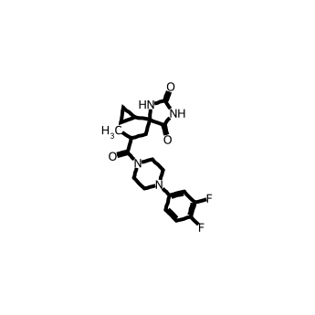 CC(CC1(C2CC2)NC(=O)NC1=O)C(=O)N1CCN(c2ccc(F)c(F)c2)CC1